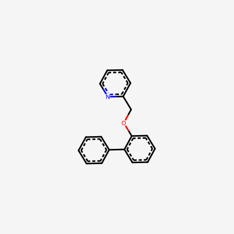 c1ccc(-c2ccccc2OCc2ccccn2)cc1